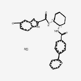 Cl.O=C(N[C@H]1CCCC[C@H]1NC(=O)c1cc2cc(Cl)ccc2[nH]1)c1ccc(-c2ccccn2)cc1